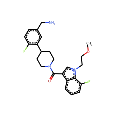 COCCn1cc(C(=O)N2CCC(c3cc(CN)ccc3F)CC2)c2cccc(F)c21